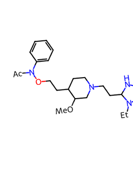 CCN1N=NNC1CCN1CCC(CCON(C(C)=O)c2ccccc2)C(OC)C1